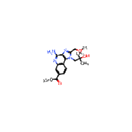 CCOCc1nc2c(N)nc3cc(C(=O)OC)ccc3c2n1CC(C)(C)O